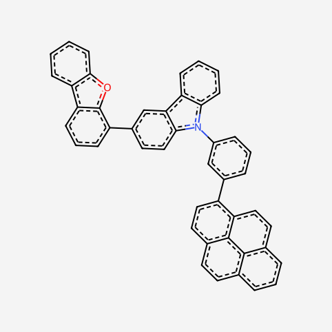 c1cc(-c2ccc3ccc4cccc5ccc2c3c45)cc(-n2c3ccccc3c3cc(-c4cccc5c4oc4ccccc45)ccc32)c1